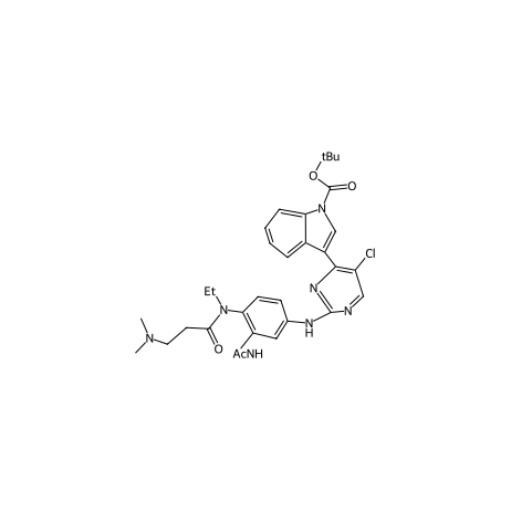 CCN(C(=O)CCN(C)C)c1ccc(Nc2ncc(Cl)c(-c3cn(C(=O)OC(C)(C)C)c4ccccc34)n2)cc1NC(C)=O